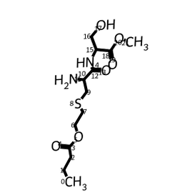 CCCC(=O)OCCSCC(N)C(=O)NC(CO)C(=O)OC